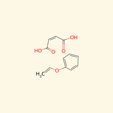 C=COc1ccccc1.O=C(O)/C=C\C(=O)O